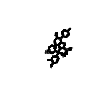 Cc1ccc(-n2c(=O)ccc3c(C(C#N)(c4ccc(F)c(C)c4)C4CNCCO4)c([N+](=O)[O-])sc32)cc1